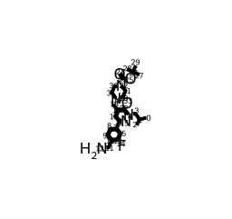 CC(C)Cn1nc(-c2ccc(CN)c(F)c2)cc(CN2CCN(C(=O)OC(C)(C)C)CC2)c1=O